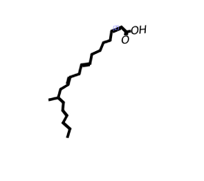 CCCCCCC(C)CC=CCC=CCCCC/C=C\C(=O)O